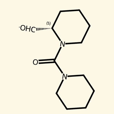 O=[C][C@@H]1CCCCN1C(=O)N1CCCCC1